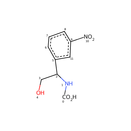 O=C(O)NC(CO)c1cccc([N+](=O)[O-])c1